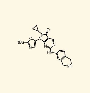 CC(C)(C)c1ncc(-n2c3nc(Nc4ccc5c(c4)CNCC5)ncc3c(=O)n2C2CC2)o1